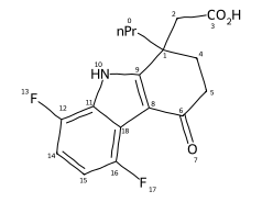 CCCC1(CC(=O)O)CCC(=O)c2c1[nH]c1c(F)ccc(F)c21